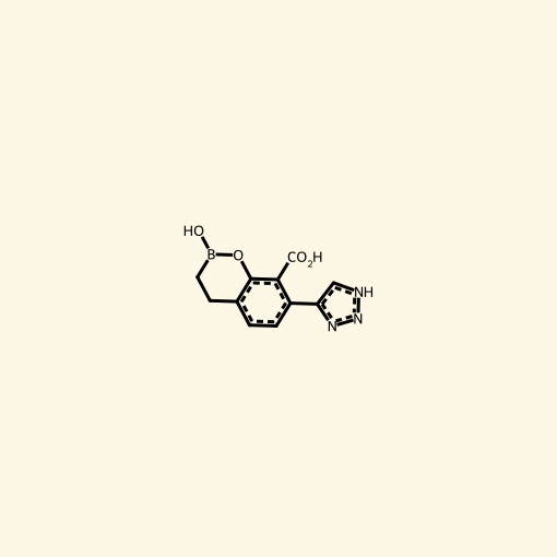 O=C(O)c1c(-c2c[nH]nn2)ccc2c1OB(O)CC2